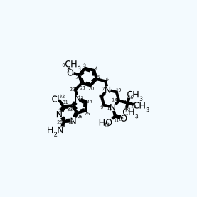 COc1ccc(CN2CCN(C(=O)O)C(C(C)(C)C)C2)cc1Cn1ccc2nc(N)nc(Cl)c21